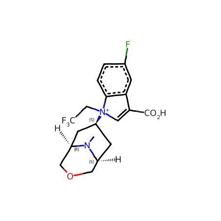 CN1[C@@H]2COC[C@H]1C[C@@H]([N+]1(CC(F)(F)F)C=C(C(=O)O)c3cc(F)ccc31)C2